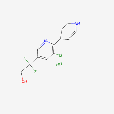 Cl.OCC(F)(F)c1cnc(C2C=CNCC2)c(Cl)c1